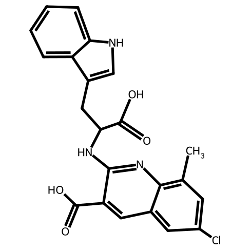 Cc1cc(Cl)cc2cc(C(=O)O)c(NC(Cc3c[nH]c4ccccc34)C(=O)O)nc12